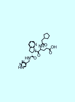 O=C(O)CCC(NC(=O)CC1CCCC1)C(=O)N1c2ncccc2C[C@H]1C(=O)NCc1c[nH]nn1